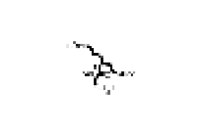 CCCCCCCCCCCCCC(CCCCCCCCCCCC)OC(=O)CS(=O)(=O)O.[NaH]